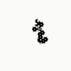 C=Cc1c(/C=C\C)oc2cccc(-c3nc(-c4ccccc4)nc(-c4cccc5c4ccc4cc6c(cc45)-c4c(ccc5ccccc45)C(C)(C)C6(C)C)n3)c12